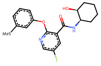 CSc1cccc(Oc2ncc(F)cc2C(=O)N[C@@H]2CCCC[C@@H]2O)c1